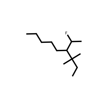 CCCCCC(C(C)F)C(C)(C)CC